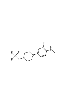 CNc1ccc(N2CCN(CC(F)(F)F)CC2)cc1F